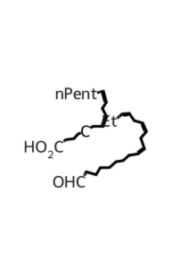 CC/C=C\C/C=C\C/C=C\CCCCCCCC=O.CCCCC/C=C\C/C=C\CCCCCC(=O)O